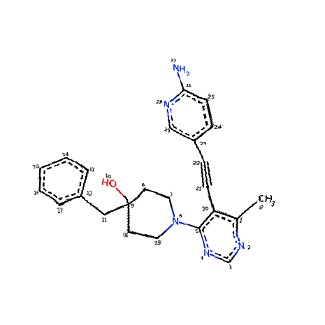 Cc1ncnc(N2CCC(O)(Cc3ccccc3)CC2)c1C#Cc1ccc(N)nc1